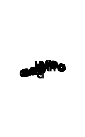 Clc1cc2c(nc1-c1ccc(N3CCOCC3)cc1)NC(Oc1ccc(C3CCCCC3)cc1)N2